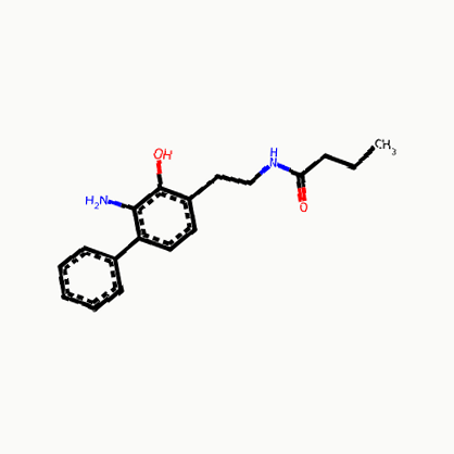 CCCC(=O)NCCc1ccc(-c2ccccc2)c(N)c1O